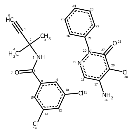 C#CC(C)(C)NC(=O)c1cc(Cl)cc(Cl)c1.Nc1cnn(-c2ccccc2)c(=O)c1Cl